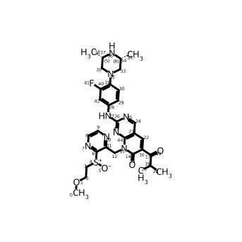 COCC[S+]([O-])c1nccnc1Cn1c(=O)c(C(=O)C(C)C)cc2cnc(Nc3ccc(N4C[C@@H](C)N[C@@H](C)C4)c(F)c3)nc21